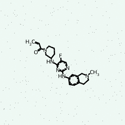 C=CC(=O)N1CCC[C@@H](Nc2nc(Nc3ccc4c(c3)CN(C)CC4)ncc2F)C1